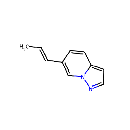 CC=Cc1ccc2ccnn2c1